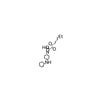 CCC=CC=CC(=O)C(=O)C(O)CNc1ccc(Nc2ccccc2)cc1